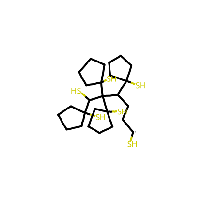 S[CH]CCC(C1(S)CCCC1)C([C](S)C1(S)CCCC1)(C1(S)CCCC1)C1(S)CCCC1